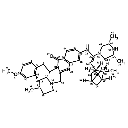 COc1ccc(CCn2c(CN3CCN(C)CC3)nc3cc(NC(=N[C@H]4C[C@H]5C[C@@H]([C@@H]4C)C5(C)C)N4C[C@@H](C)N[C@@H](C)C4)ccc3c2=O)c(F)c1